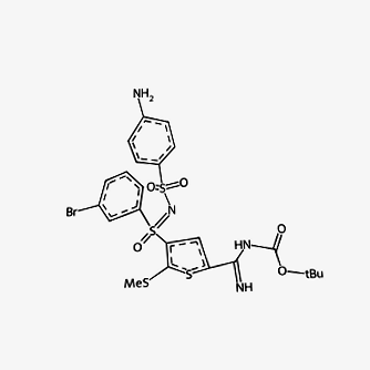 CSc1sc(C(=N)NC(=O)OC(C)(C)C)cc1S(=O)(=NS(=O)(=O)c1ccc(N)cc1)c1cccc(Br)c1